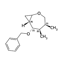 C[C@H]1[C@H](OCc2ccccc2)[C@@H]2CC2OC[C@H]1C